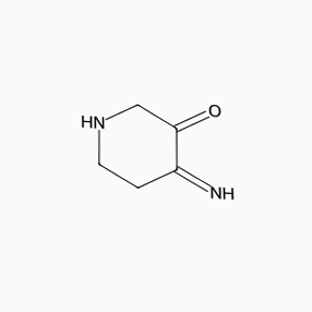 N=C1CCNCC1=O